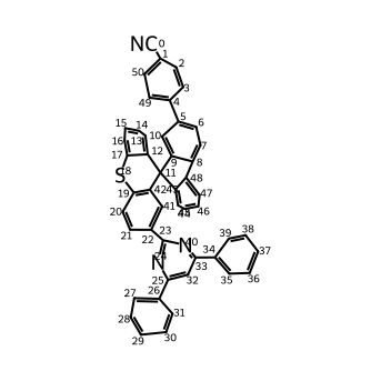 N#Cc1ccc(-c2ccc3c(c2)C2(c4ccccc4Sc4ccc(-c5nc(-c6ccccc6)cc(-c6ccccc6)n5)cc42)c2ccccc2-3)cc1